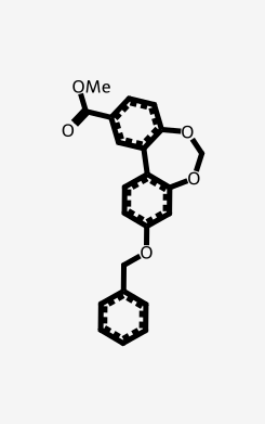 COC(=O)c1ccc2c(c1)-c1ccc(OCc3ccccc3)cc1OCO2